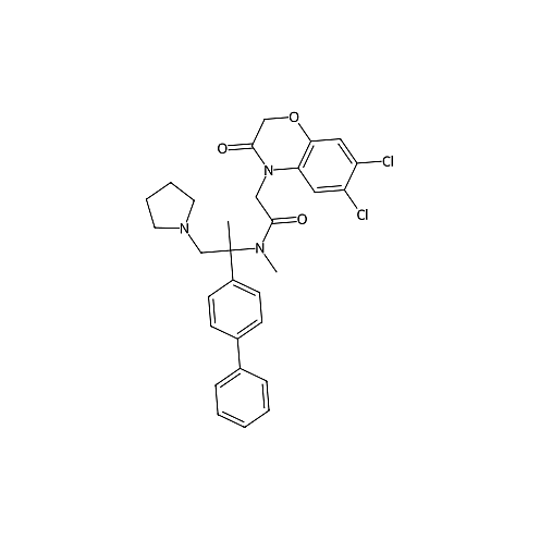 CN(C(=O)CN1C(=O)COc2cc(Cl)c(Cl)cc21)C(C)(CN1CCCC1)c1ccc(-c2ccccc2)cc1